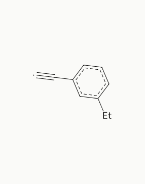 [C]#Cc1cccc(CC)c1